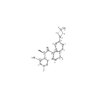 Cc1ccc([C@@H](C)Nc2nnc(C)c3cnc(N4CC(C)(O)C4)cc23)c(F)c1